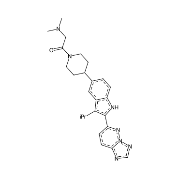 CC(C)c1c(-c2ccc3ncnn3n2)[nH]c2ccc(C3CCN(C(=O)CN(C)C)CC3)cc12